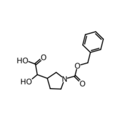 O=C(O)C(O)C1CCN(C(=O)OCc2ccccc2)C1